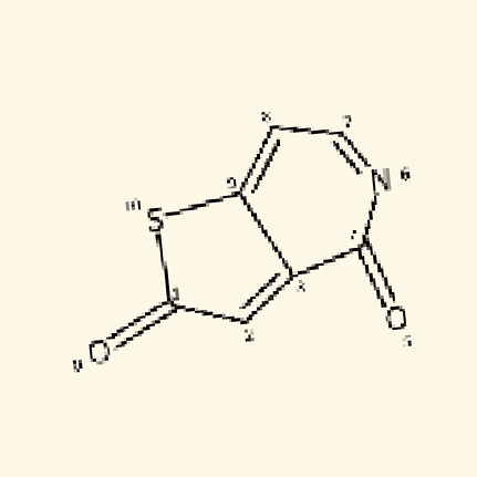 O=C1C=C2C(=O)N=CC=C2S1